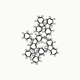 CC1(C)c2ccccc2-c2ccc(N(c3ccc4c(c3)C(c3ccccc3)(c3ccccc3)c3ccccc3-4)c3ccc4c(c3)c3cc(C5(c6ccccc6)c6ccccc6-c6ccccc65)ccc3n4-c3ccccc3)cc21